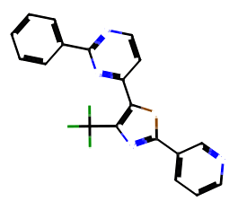 FC(F)(F)c1nc(-c2cccnc2)sc1-c1ccnc(-c2ccccc2)n1